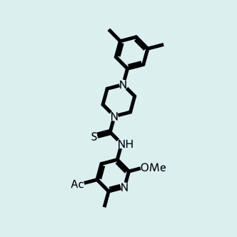 COc1nc(C)c(C(C)=O)cc1NC(=S)N1CCN(c2cc(C)cc(C)c2)CC1